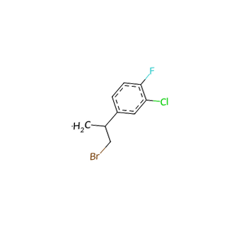 [CH2]C(CBr)c1ccc(F)c(Cl)c1